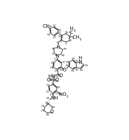 CC1(C)CCC(CN2CCN(c3ccc(C(=O)NS(=O)(=O)c4ccc(NC[C@H]5CCCOC5)c([N+](=O)[O-])c4)c(Oc4ccc5[nH]ccc5c4)c3)CC2)=C(c2ccc(Cl)cc2)C1